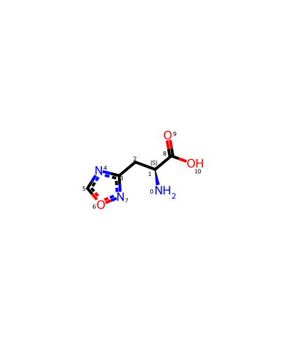 N[C@@H](Cc1ncon1)C(=O)O